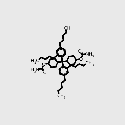 CCCCCc1ccc(C(c2ccc(CCCCC)cc2CCCCC)(C2CCC(OC(N)=O)CC2)C2CCC(OC(N)=O)CC2)c(CCCCC)c1